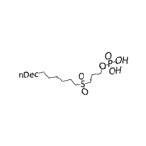 CCCCCCCCCCCCCCCCS(=O)(=O)CCCOP(=O)(O)O